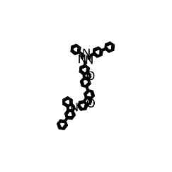 c1ccc(-c2ccc(-c3nc(-c4ccccc4)nc(-c4ccc5c(c4)oc4cc(-c6ccc7oc8ccc(-n9c%10ccccc%10c%10cc(-c%11ccccc%11)ccc%109)cc8c7c6)ccc45)n3)cc2)cc1